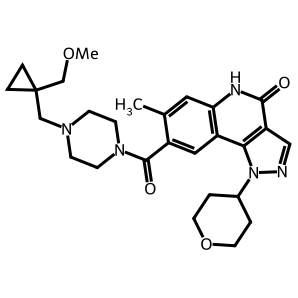 COCC1(CN2CCN(C(=O)c3cc4c(cc3C)[nH]c(=O)c3cnn(C5CCOCC5)c34)CC2)CC1